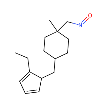 CCC1=CC=CC1CC1CCC(C)(CN=O)CC1